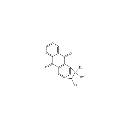 CCC1(C(C)C)c2cc(cc3c2C(=O)c2ccccc2C3=O)C1C(C)(C)C